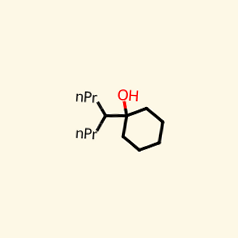 CCCC(CCC)C1(O)CCCCC1